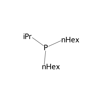 CCCCCCP(CCCCCC)C(C)C